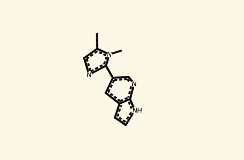 Cc1cnc(-c2cnc3[nH]ccc3c2)n1C